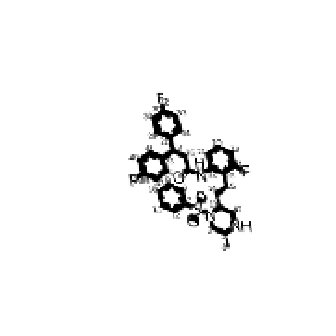 C[C@H]1CN(S(=O)(=O)c2ccccc2)[C@@H](CCc2c(F)cccc2NC(=O)CC(c2ccc(F)cc2)c2ccc(F)cc2)CN1